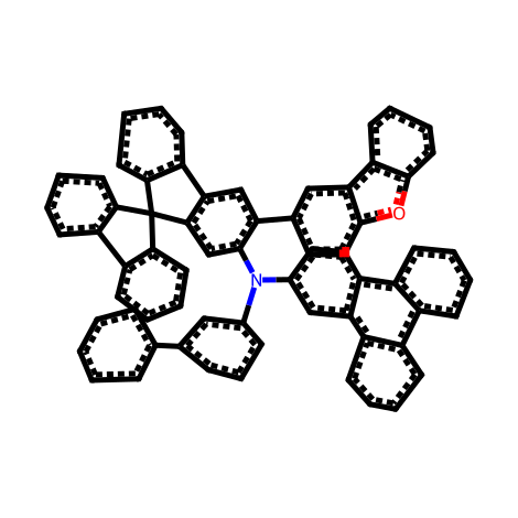 c1ccc(-c2cccc(N(c3ccc4c5ccccc5c5ccccc5c4c3)c3cc4c(cc3-c3ccc5oc6ccccc6c5c3)-c3ccccc3C43c4ccccc4-c4ccccc43)c2)cc1